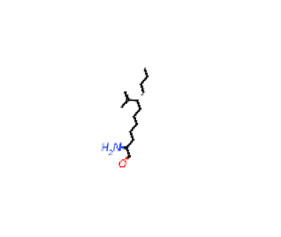 CCCC[C@H](CCCCCC(N)C=O)C(C)C